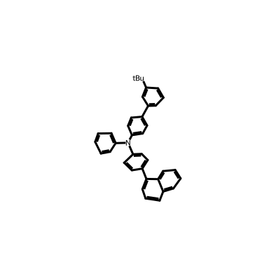 CC(C)(C)c1cccc(-c2ccc(N(c3ccccc3)c3ccc(-c4cccc5ccccc45)cc3)cc2)c1